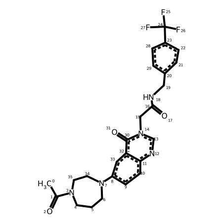 CC(=O)N1CCCN(c2ccc3ncn(CC(=O)NCc4ccc(C(F)(F)F)cc4)c(=O)c3c2)CC1